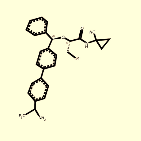 CC(C)C[C@H](O[C@H](c1ccccc1)c1ccc(-c2ccc(C(N)C(F)(F)F)cc2)cc1)C(=O)NC1(C#N)CC1